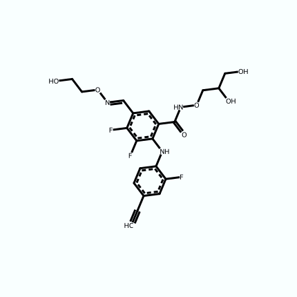 C#Cc1ccc(Nc2c(C(=O)NOCC(O)CO)cc(/C=N/OCCO)c(F)c2F)c(F)c1